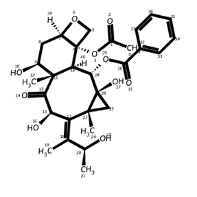 CC(=O)O[C@@]12CO[C@@H]1C[C@H](O)[C@@]1(C)C(=O)[C@H](O)/C(=C(\C)[C@H](C)O)[C@@]3(C)C[C@@]3(O)[C@@H](OC(=O)c3ccccc3)[C@H]21